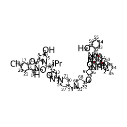 CC(C)[C@H](C(=O)N1C[C@H](O)C[C@H]1C(=O)N[C@@H](C)c1ccc(Cl)cc1)c1cc(N2CCC(CN3CCC(O[C@H]4C[C@H](Oc5cc(N6C7CCC6CN(c6cc(-c8ccccc8O)nnc6N)C7)ccn5)C4)CC3)CC2)no1